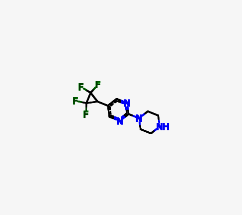 FC1(F)C(c2cnc(N3CCNCC3)nc2)C1(F)F